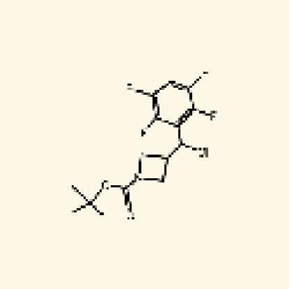 CC(C)(C)OC(=O)N1CC(C(O)c2c(F)c(F)cc(F)c2F)C1